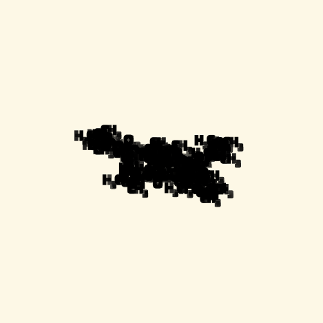 C[SiH]1O[SiH](C)O[Si](C)(CCCn2c(=O)n(CCC[Si]3(C)O[SiH](C)O[SiH](C)O[SiH](C)O3)c(=O)n(CCC[Si]3(C)O[SiH](C)O[SiH](C)O[Si](C)(CCCn4c(=O)n(CCC[Si]5(C)O[SiH](C)O[SiH](C)O[SiH](C)O5)c(=O)n(CCC[Si]5(C)O[SiH](C)O[SiH](C)O[Si](C)(CCCn6c(=O)n(CCC[Si]7(C)O[SiH](C)O[SiH](C)O[SiH](C)O7)c(=O)n(CCC[Si]7(C)O[SiH](C)O[SiH](C)O[SiH](C)O7)c6=O)O5)c4=O)O3)c2=O)O[SiH](C)O1